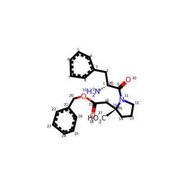 N[C@H](Cc1ccccc1)C(=O)N1CCC[C@@]1(CC(=O)OCc1ccccc1)C(=O)O